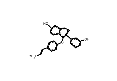 CCOC(=O)C=Cc1ccc(Oc2c(-c3cccc(O)c3)ccc3cc(O)ccc23)cc1